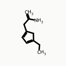 C=C(N)CC1=CC=C(CC)C1